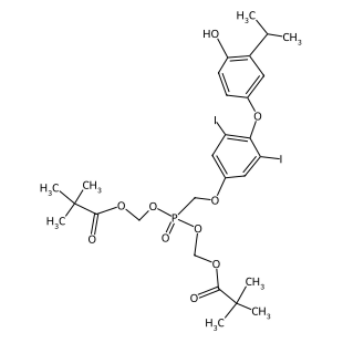 CC(C)c1cc(Oc2c(I)cc(OCP(=O)(OCOC(=O)C(C)(C)C)OCOC(=O)C(C)(C)C)cc2I)ccc1O